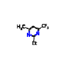 CCc1nc(C)cc(C(F)(F)F)n1